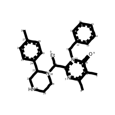 CCC(c1nc(C)c(C)c(=O)n1Cc1ccccc1)N1CCNCC1c1ccc(C)cc1